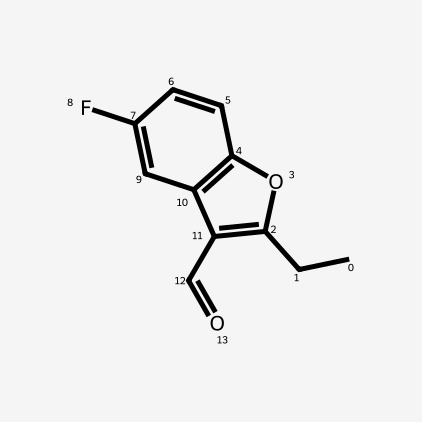 CCc1oc2ccc(F)cc2c1C=O